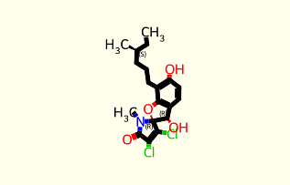 CC[C@H](C)CCCc1c(O)ccc2c1O[C@@]1(C(Cl)=C(Cl)C(=O)N1C)[C@@H]2O